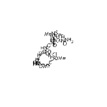 CNC(=S)N[C@H](C(=S)N[C@@H](CCCNC(N)=O)C(=O)Nc1ccc(NC(=O)O[C@H]2CC(=O)N(C)c3cc(cc(OC)c3Cl)C/C(C)=C/C=C/[C@@H](OC)[C@@]3(O)C[C@H](OC(=O)N3)[C@@H](C)[C@@H]3O[C@@]23C)cc1)C(C)C